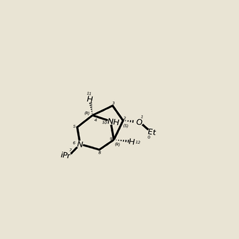 CCO[C@H]1C[C@@H]2CN(C(C)C)C[C@H]1N2